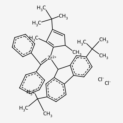 CC1=[C]([Zr+2](=[C](c2ccccc2)c2ccccc2)[CH]2c3cc(C(C)(C)C)ccc3-c3ccc(C(C)(C)C)cc32)C(C)C=C1C(C)(C)C.[Cl-].[Cl-]